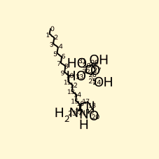 CCCCCCCCCCCCCCCCc1cnc(=O)[nH]c1N.OC[C@H]1OC(O)[C@@H](O)[C@@H]1O